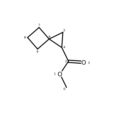 COC(=O)C1CC12CCC2